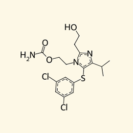 CC(C)c1nc(CCO)n(CCOC(N)=O)c1Sc1cc(Cl)cc(Cl)c1